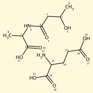 CC(O)CC(=O)NC(C)C(=O)O.NC(CCC(=O)O)C(=O)O